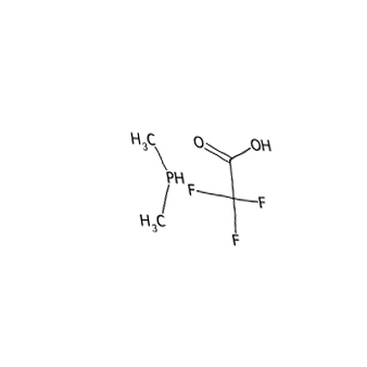 CPC.O=C(O)C(F)(F)F